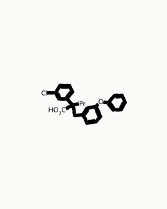 CC(C)C(Cc1cccc(Oc2ccccc2)c1)(C(=O)O)c1cccc(Cl)c1